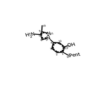 CCCC(C)c1ccc(-n2cc(N)c(C)n2)cc1O